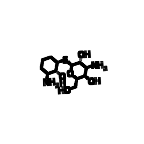 N[C@H]1[C@@H](O)[C@@H](CO)O[C@@H](S[C@@H]2CCC[C@H](N)[C@H]2O)[C@@H]1O